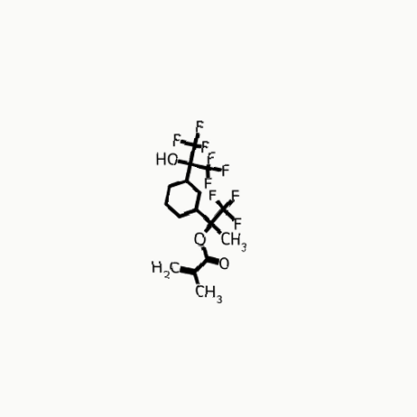 C=C(C)C(=O)OC(C)(C1CCCC(C(O)(C(F)(F)F)C(F)(F)F)C1)C(F)(F)F